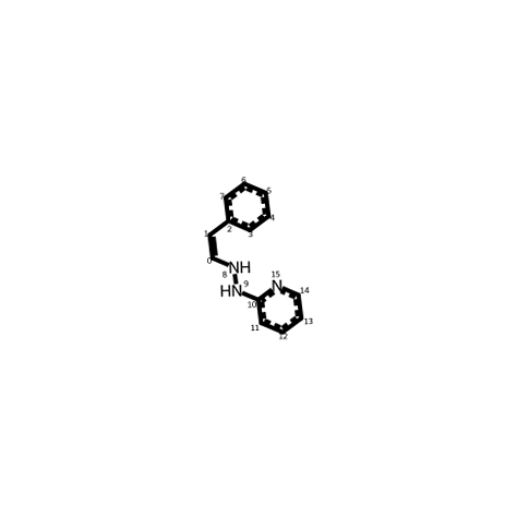 C(=C/c1ccccc1)/NNc1ccccn1